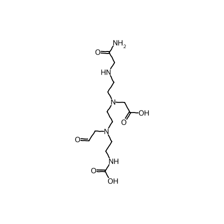 NC(=O)CNCCN(CCN(CC=O)CCNC(=O)O)CC(=O)O